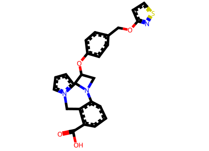 O=C(O)c1cccc(N2CC(Oc3ccc(COc4ccsn4)cc3)C2)c1Cn1cccc1